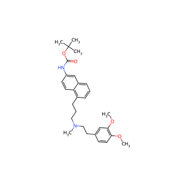 COc1ccc(CCN(C)CCCc2cccc3cc(NC(=O)OC(C)(C)C)ccc23)cc1OC